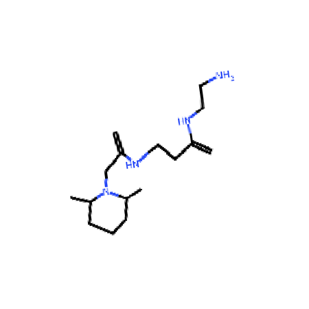 C=C(CCNC(=C)CN1C(C)CCCC1C)NCCN